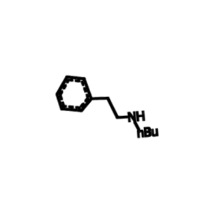 CCCCNCCc1ccccc1